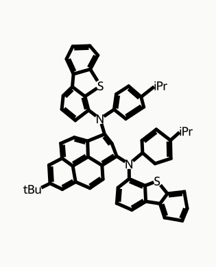 CC(C)C1=CCC(N(c2cc(N(c3ccc(C(C)C)cc3)c3cccc4c3sc3ccccc34)c3ccc4cc(C(C)(C)C)cc5ccc2c3c45)c2cccc3c2sc2ccccc23)C=C1